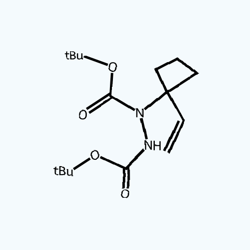 C=CC1(N(NC(=O)OC(C)(C)C)C(=O)OC(C)(C)C)CCC1